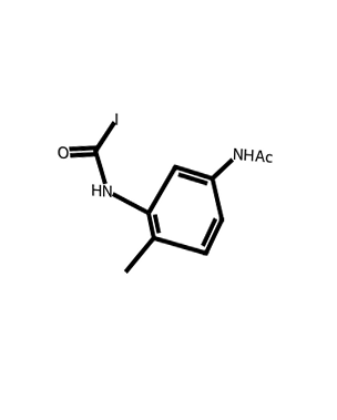 CC(=O)Nc1ccc(C)c(NC(=O)I)c1